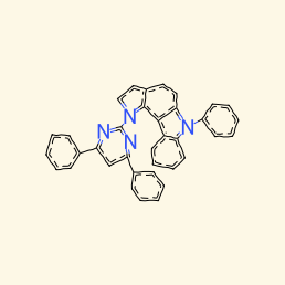 c1ccc(-c2cc(-c3ccccc3)nc(-n3ccc4ccc5c(c6ccccc6n5-c5ccccc5)c43)n2)cc1